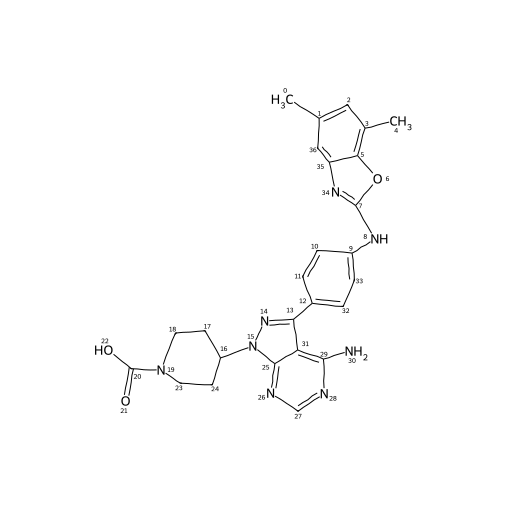 Cc1cc(C)c2oc(Nc3ccc(-c4nn(C5CCN(C(=O)O)CC5)c5ncnc(N)c45)cc3)nc2c1